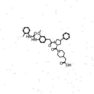 COc1cc(CC(=O)N2CC(c3ccccc3)C[C@H]2C(=O)N2CCC(CC(=O)O)CC2)ccc1NC(=O)Nc1ccccc1C